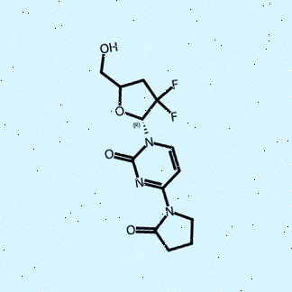 O=C1CCCN1c1ccn([C@@H]2OC(CO)CC2(F)F)c(=O)n1